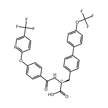 O=C(N[C@@H](Cc1ccc(-c2ccc(OC(F)(F)F)cc2)cc1)C(=O)O)c1ccc(Oc2ccc(C(F)(F)F)cn2)cc1